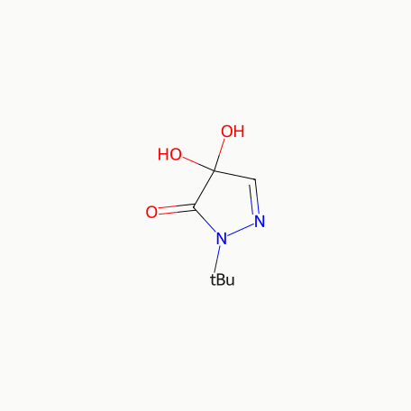 CC(C)(C)N1N=CC(O)(O)C1=O